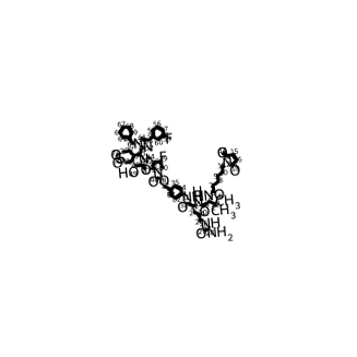 CC(C)[C@H](NC(=O)CCCCCN1C(=O)C=CC1=O)C(=O)N[C@@H](CCCNC(N)=O)C(=O)Nc1ccc(COC(=O)N2C[C@@H](CN(C(=O)CO)[C@H](c3nc(-c4cccc(F)c4)cn3Cc3ccccc3)C3CCS(=O)(=O)CC3)[C@@H](F)C2)cc1